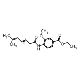 CCOC(=O)c1ccc(NC(=O)C/N=C/C=C(C)C)c(OC)c1